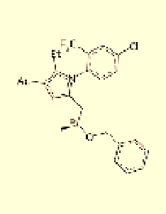 CCc1c(C(C)=O)cc(C[C@H](C)OCc2ccccc2)n1-c1ccc(Cl)cc1C(F)(F)F